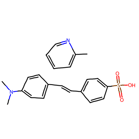 CN(C)c1ccc(C=Cc2ccc(S(=O)(=O)O)cc2)cc1.Cc1ccccn1